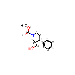 COC(=O)N1CC[C@H](c2ccccc2)[C@@H](CO)C1